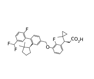 CC1(C)CCC[C@@H]1c1cc(COc2cccc([C@H](CC(=O)O)C3(C)CC3)c2F)ccc1-c1cc(C(F)F)ccc1F